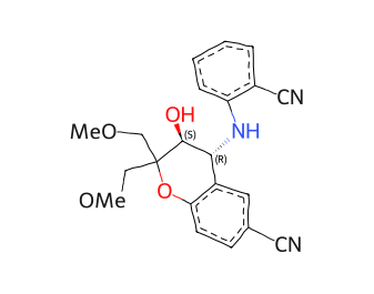 COCC1(COC)Oc2ccc(C#N)cc2[C@@H](Nc2ccccc2C#N)[C@@H]1O